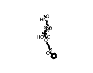 CC(=O)NCCCS(=O)(=O)OCC(C)(C)[C@@H](O)C(=O)OCCCCOC(=O)c1ccccc1